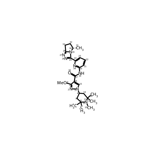 COc1nn(C2CC(C)(C)N(C)C(C)(C)C2)cc1C(=O)Nc1cccc(-c2nnc3n2[C@@H](C)CC3)n1